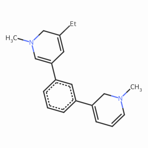 CCC1=CC(c2cccc(C3=CC=CN(C)C3)c2)=CN(C)C1